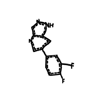 Fc1ccc(-c2cnc3cn[nH]c3c2)cc1F